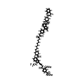 CNC(=O)c1ccc(NCC#Cc2cc3c(NC4CCN(CCCCCCCCC(=O)NCc5ccc(-c6c7ncn(CC8(O)CCN(C(=O)C[C@@H](C)c9ccccc9)CC8)c(=O)c7nn6C)cc5)CC4)cccc3n2CC(F)(F)F)c(OC)c1